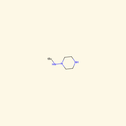 CC(C)(C)NN1CCNCC1